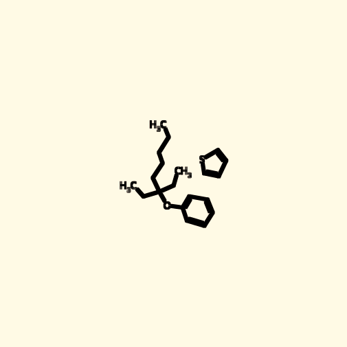 CCCCCC(CC)(CC)Oc1ccccc1.c1ccsc1